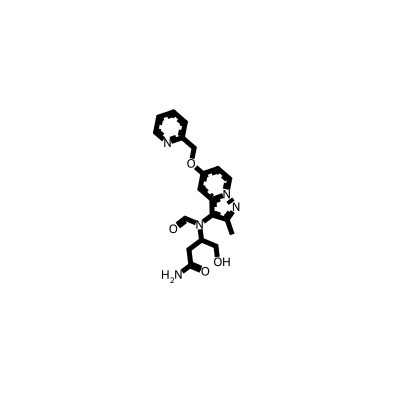 Cc1nn2ccc(OCc3ccccn3)cc2c1N(C=O)C(CO)CC(N)=O